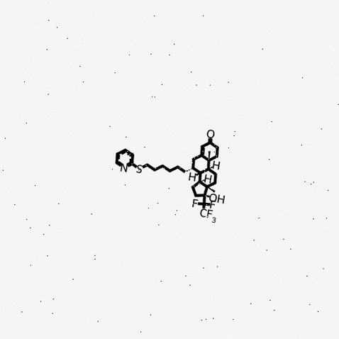 C[C@]12CCC(=O)C=C1C[C@@H](CCCCCCSc1ccccn1)[C@@H]1[C@@H]2CC[C@@]2(C)[C@H]1CC[C@@]2(O)C(F)(F)C(F)(F)F